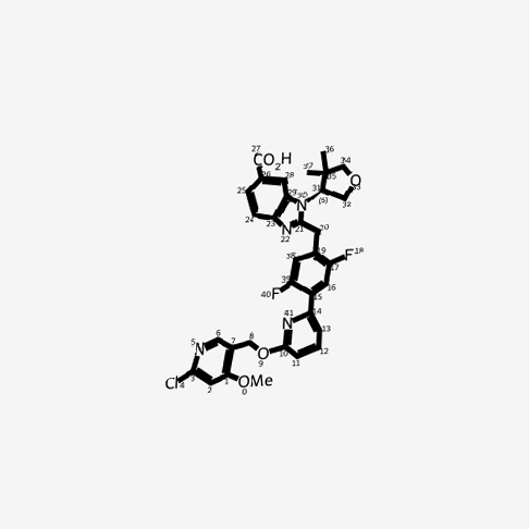 COc1cc(Cl)ncc1COc1cccc(-c2cc(F)c(Cc3nc4ccc(C(=O)O)cc4n3[C@@H]3COCC3(C)C)cc2F)n1